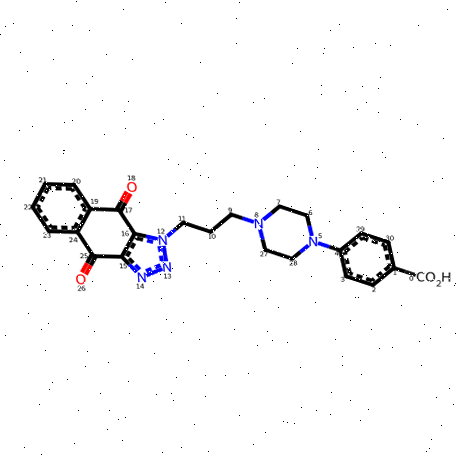 O=C(O)c1ccc(N2CCN(CCCn3nnc4c3C(=O)c3ccccc3C4=O)CC2)cc1